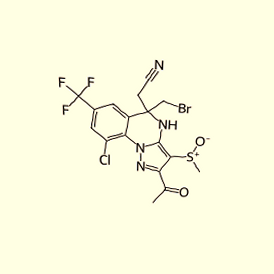 CC(=O)c1nn2c(c1[S+](C)[O-])NC(CBr)(CC#N)c1cc(C(F)(F)F)cc(Cl)c1-2